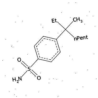 CCCCCC(C)(CC)c1ccc(S(N)(=O)=O)cc1